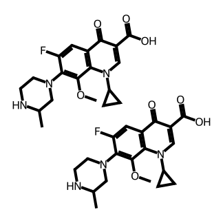 COc1c(N2CCNC(C)C2)c(F)cc2c(=O)c(C(=O)O)cn(C3CC3)c12.COc1c(N2CCNC(C)C2)c(F)cc2c(=O)c(C(=O)O)cn(C3CC3)c12